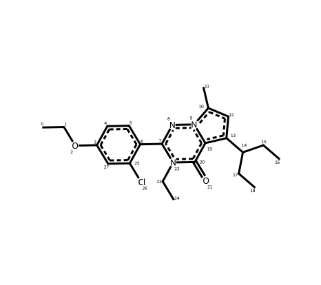 CCOc1ccc(-c2nn3c(C)cc(C(CC)CC)c3c(=O)n2CC)c(Cl)c1